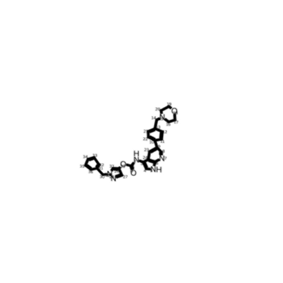 O=C(Nc1c[nH]c2ncc(-c3ccc(CN4CCOCC4)cc3)cc12)Oc1cnn(Cc2ccccc2)c1